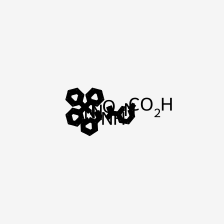 O=C(Nc1nn(C(c2ccccc2)(c2ccccc2)c2ccccc2)c2ccccc12)C1CCCN(C(=O)O)C1